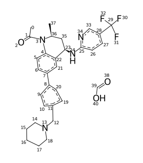 CC(=O)N1c2ccc(-c3ccc(CN4CCCCC4)cc3)cc2[C@H](Nc2ccc(C(F)(F)F)cn2)C[C@@H]1C.O=CO